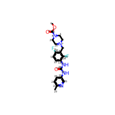 COC(=O)N1CCN(Cc2c(F)ccc(NC(=O)Nc3ccc(C)nc3)c2F)CC1